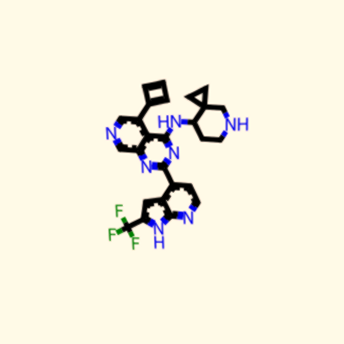 FC(F)(F)c1cc2c(-c3nc(NC4CCNCC45CC5)c4c(C5=CC=C5)cncc4n3)ccnc2[nH]1